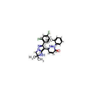 Cc1ccccc1-n1nc(-c2c(-c3ccc(F)cc3F)nn3c2NC(C)(C)C3)ccc1=O